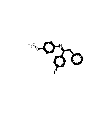 COc1ccc(N=C(Cc2ccccc2)c2ccc(F)cc2)cc1